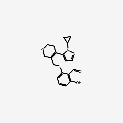 O=Cc1c(O)cccc1OCC1=C(c2ccnn2C2CC2)CCOC1